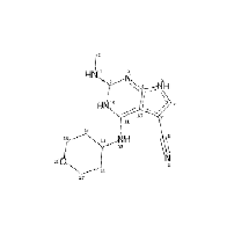 CNC1N=c2[nH]cc(C#N)c2=C(NC2CCOCC2)N1